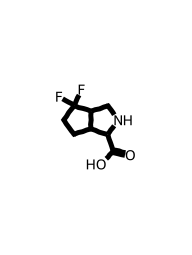 O=C(O)C1NCC2C1CCC2(F)F